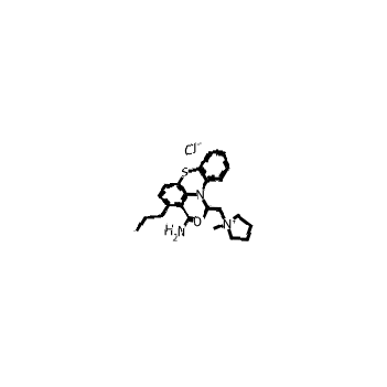 CCCc1ccc2c(c1C(N)=O)N(C(C)C[N+]1(C)CCCC1)c1ccccc1S2.[Cl-]